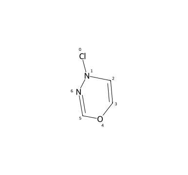 ClN1C=COC=N1